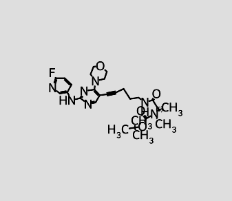 C[C@@H](C(=O)NCCCC#Cc1cnc(Nc2ccc(F)nc2)nc1N1CCOCC1)N(C)C(=O)OC(C)(C)C